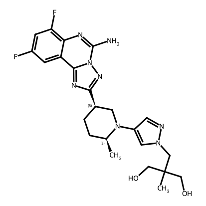 C[C@H]1CC[C@@H](c2nc3c4cc(F)cc(F)c4nc(N)n3n2)CN1c1cnn(CC(C)(CO)CO)c1